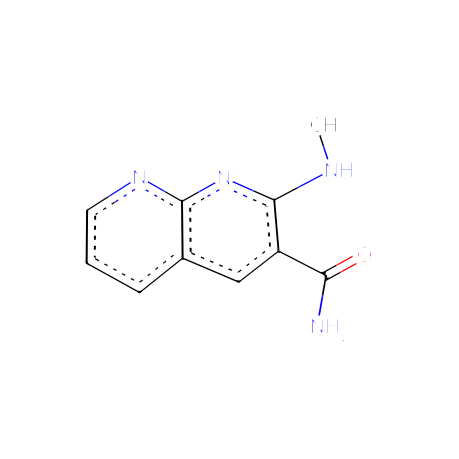 CNc1nc2ncccc2cc1C(N)=O